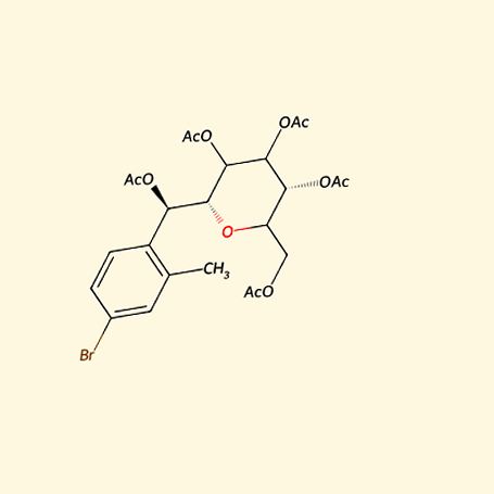 CC(=O)OCC1O[C@H]([C@H](OC(C)=O)c2ccc(Br)cc2C)C(OC(C)=O)C(OC(C)=O)[C@@H]1OC(C)=O